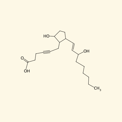 CCCCCCC(O)/C=C/C1CCC(O)C1CC#CCCC(=O)O